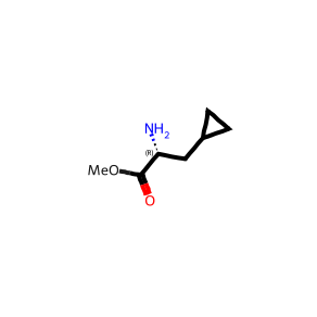 COC(=O)[C@H](N)CC1CC1